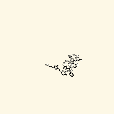 C=C1C[C@H](CCCO)OC1CC[C@H]1C[C@@H](C)C(=C)C(C[C@@H]2O[C@H](C[C@H](C)CC)[C@H](C)C2C(C(O)C[C@H]2CC[C@@H]3O[C@@H]([C@H](/C=C/I)O[Si](C)(C)C(C)(C)C)[C@@H](O[Si](C)(C)C(C)(C)C)[C@@H](O[Si](C)(C)C(C)(C)C)[C@H]3O2)S(=O)(=O)c2ccccc2)O1